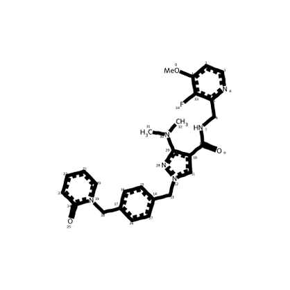 COc1ccnc(CNC(=O)c2cn(Cc3ccc(Cn4ccccc4=O)cc3)nc2N(C)C)c1F